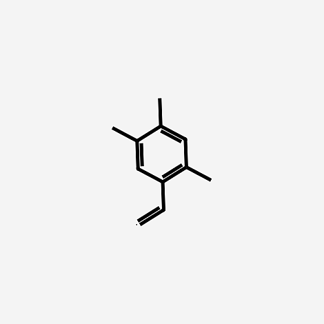 [CH]=Cc1cc(C)c(C)cc1C